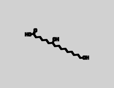 O=C(O)CCCCCC(O)CCCCCCCCCO